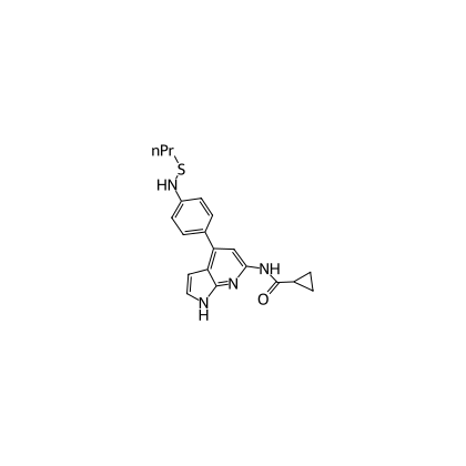 CCCSNc1ccc(-c2cc(NC(=O)C3CC3)nc3[nH]ccc23)cc1